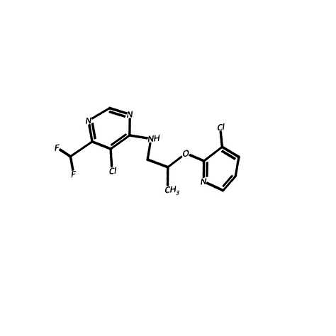 CC(CNc1ncnc(C(F)F)c1Cl)Oc1ncccc1Cl